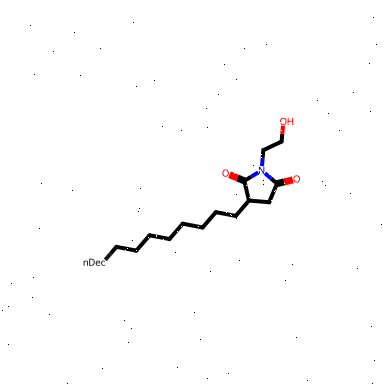 CCCCCCCCCCCCCCCCCCC1CC(=O)N(CCO)C1=O